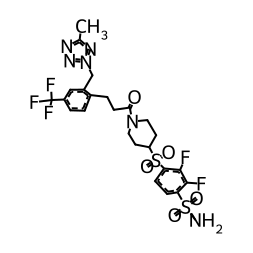 Cc1nnn(Cc2cc(C(F)(F)F)ccc2CCC(=O)N2CCC(S(=O)(=O)c3ccc(S(N)(=O)=O)c(F)c3F)CC2)n1